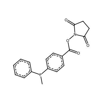 CP(c1ccccc1)c1ccc(C(=O)ON2C(=O)CCC2=O)cc1